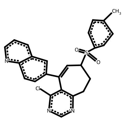 Cc1ccc(S(=O)(=O)C2C=C(c3ccc4ncccc4c3)c3c(Cl)ncnc3CC2)cc1